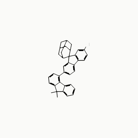 CC1(C)c2ccccc2-c2c(-c3ccc4c(c3)C3(c5cc(Cl)ccc5-4)C4CC5CC(C4)CC3C5)cccc21